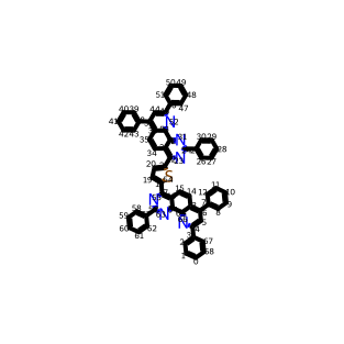 c1ccc(-c2cc(-c3ccccc3)c3ccc4c(-c5ccc(-c6nc(-c7ccccc7)nc7c6ccc6c(-c8ccccc8)cc(-c8ccccc8)nc67)s5)nc(-c5ccccc5)nc4c3n2)cc1